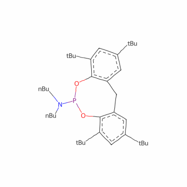 CCCCN(CCCC)P1Oc2c(cc(C(C)(C)C)cc2C(C)(C)C)Cc2cc(C(C)(C)C)cc(C(C)(C)C)c2O1